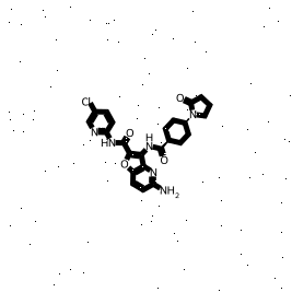 Nc1ccc2oc(C(=O)Nc3ccc(Cl)cn3)c(NC(=O)[C@H]3CC[C@H](N4CCCC4=O)CC3)c2n1